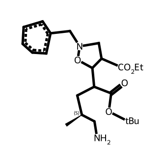 CCOC(=O)C1CN(Cc2ccccc2)OC1C(C[C@H](C)CN)C(=O)OC(C)(C)C